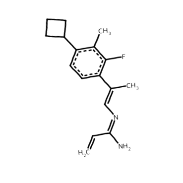 C=C/C(N)=N\C=C(/C)c1ccc(C2CCC2)c(C)c1F